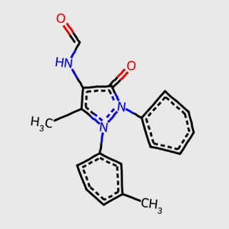 Cc1cccc(-n2c(C)c(NC=O)c(=O)n2-c2ccccc2)c1